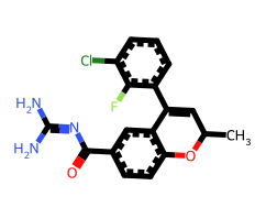 CC1C=C(c2cccc(Cl)c2F)c2cc(C(=O)N=C(N)N)ccc2O1